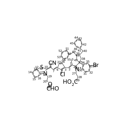 C/C(=C\C1=C(Cl)C(=C/C(C#N)=C2/Sc3ccccc3N2CCOC=O)/C=C1)C1=[N+](CCC(=O)O)c2ccc(Br)cc2C1(CCCc1ccccc1)CCCc1ccccc1